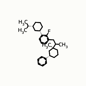 CC(C)[C@@H]1CCC[C@H](c2cccc(CC(C)[C@@]3(C)CCC[C@H](c4ccccc4)C3)c2F)C1